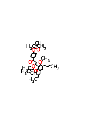 CC=CCc1cc(CC=CC)c(OC(=O)C(C)(C)C)c(C=CC(=O)c2ccc(OC(=O)C(C)(C)C)cc2)c1OCC